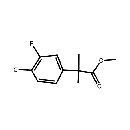 COC(=O)C(C)(C)c1ccc(Cl)c(F)c1